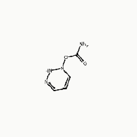 NC(=O)ON1C=CC=NN1